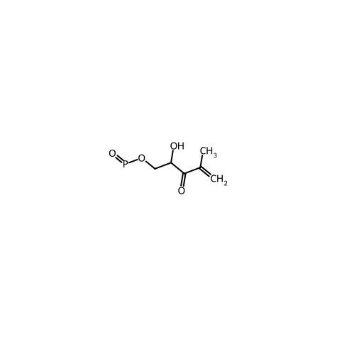 C=C(C)C(=O)C(O)COP=O